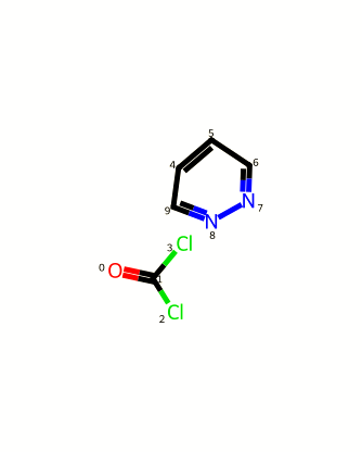 O=C(Cl)Cl.c1ccnnc1